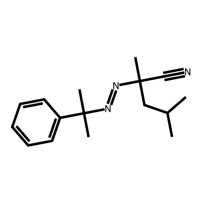 CC(C)CC(C)(C#N)N=NC(C)(C)c1ccccc1